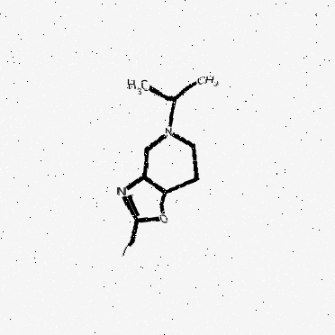 CC(C)N1CCC2OC(I)=NC2C1